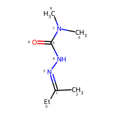 CCC(C)=NNC(=O)N(C)C